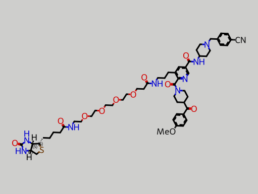 COc1ccc(C(=O)C2CCN(C(=O)c3ncc(C(=O)NC4CCN(Cc5ccc(C#N)cc5)CC4)cc3CCCNC(=O)CCOCCOCCOCCOCCNC(=O)CCCC[C@@H]3SC[C@@H]4NC(=O)N[C@@H]43)CC2)cc1